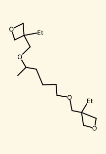 CCC1(COCCCCC(C)OCC2(CC)COC2)COC1